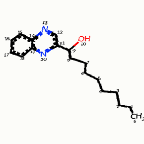 CCCCCCCCCC(O)c1cnc2ccccc2n1